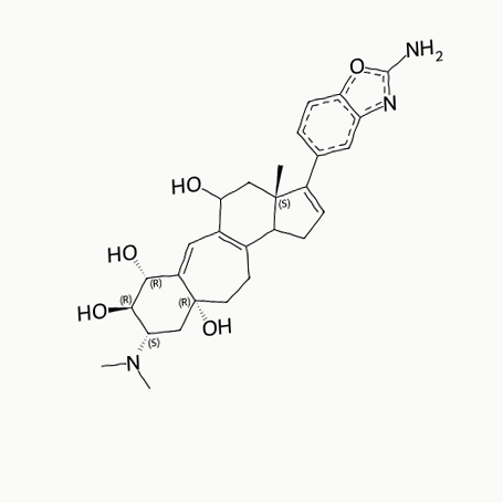 CN(C)[C@H]1C[C@]2(O)CCC3=C(C=C2[C@@H](O)[C@@H]1O)C(O)C[C@]1(C)C(c2ccc4oc(N)nc4c2)=CCC31